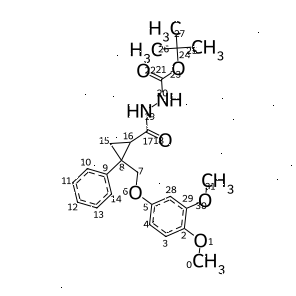 COc1ccc(OCC2(c3ccccc3)CC2C(=O)NNC(=O)OC(C)(C)C)cc1OC